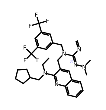 C=N/C(=N\N(C)C)N(Cc1cc(C(F)(F)F)cc(C(F)(F)F)c1)Cc1cc2ccccc2nc1N(CC)CC1CCCC1